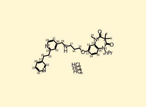 CCCN1C(=O)C(C)(C)C(=O)N(C)c2cc(OCCCNCc3ccnc(CCc4cccnc4)c3)ccc21.Cl.Cl.Cl